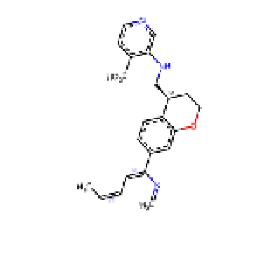 C=N/C(=C\C=C/C)c1ccc2c(c1)OCC[C@@H]2CNc1cnccc1C(=O)O